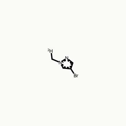 [2H]Cn1cc(Br)cn1